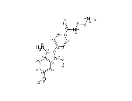 CCn1c(-c2ccc(C(=O)NCCNC)cc2)c(N)c2ccc(OC)cc21